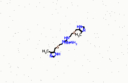 Cc1nc[nH]c1CSCC/N=C(\NN)NCCSCc1[nH]cnc1C